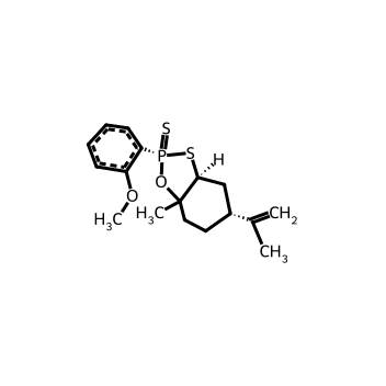 C=C(C)[C@@H]1CCC2(C)O[P@](=S)(c3ccccc3OC)S[C@H]2C1